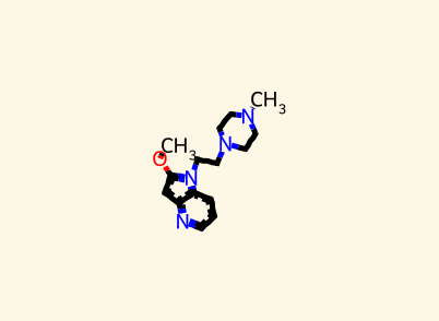 COc1cc2ncccc2n1CCN1CCN(C)CC1